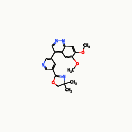 COc1cc2nncc(-c3cncc(C4=NC(C)(C)CO4)c3)c2cc1OC